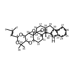 CC(C)=CC1OC2C(OC3CC[C@@]4(C)C(O)(CCC5Cc6c([nH]c7ccccc67)[C@@]54C)C34OC24)C(C)(C)O1